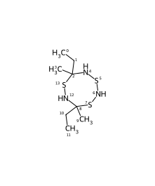 CCC1(C)NSNSC(C)(CC)NS1